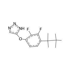 CC(C)(C)C(C)(C)c1ccc(Oc2cnn[nH]2)c(F)c1F